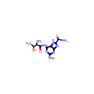 CSc1nc(NC(=O)C(N)C(C)O)c2[nH]c(C(N)=O)nc2n1